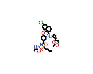 C=CCCCS(=O)(=NC(=O)c1ccc2c(c1)N(C[C@@H]1CC[C@H]1[C@H](C=C)OC(C)=O)C[C@@]1(CCCc3cc(Cl)ccc31)CO2)NC(=O)CC